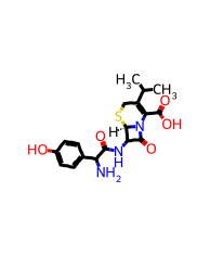 CC(C)C1=C(C(=O)O)N2C(=O)C(NC(=O)C(N)c3ccc(O)cc3)[C@H]2SC1